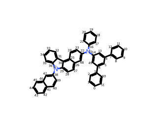 c1ccc(-c2cc(-c3ccccc3)cc(N(c3ccccc3)c3ccc4c(ccc5c4c4ccccc4n5-c4ccc5ccccc5c4)c3)c2)cc1